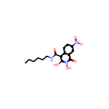 CCCCCCNC(=O)c1c(O)n(O)c(=O)c2cc([N+](=O)[O-])ccc12